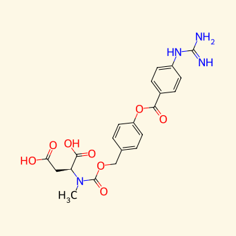 CN(C(=O)OCc1ccc(OC(=O)c2ccc(NC(=N)N)cc2)cc1)[C@@H](CC(=O)O)C(=O)O